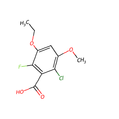 CCOc1cc(OC)c(Cl)c(C(=O)O)c1F